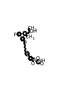 C=C/C(O)=C\C1=C(C)[C@@H](c2cccc(OCCCCCN3CCN(c4ccc5c(c4)CN(C4CCC(=O)NC4=O)C5=O)CC3)c2)[C@@H](c2ccc(F)cc2)CC1